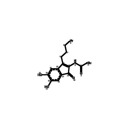 CCCCC(=O)NC1=C(CCCC(C)C)c2cc(O)c(O)cc2C1=O